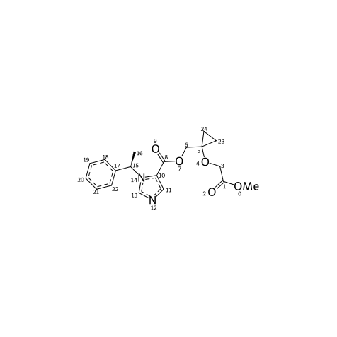 COC(=O)COC1(COC(=O)c2cncn2[C@H](C)c2ccccc2)CC1